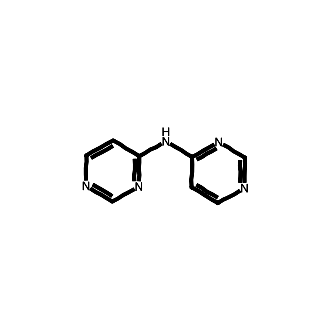 c1cc(Nc2ccncn2)ncn1